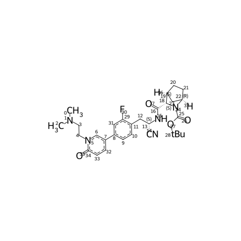 CN(C)CCn1cc(-c2ccc(C[C@@H](C#N)NC(=O)[C@@H]3[C@H]4CC[C@H](C4)N3C(=O)OC(C)(C)C)c(F)c2)ccc1=O